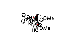 COc1ccc(C(O[C@@H]2[C@H](F)[C@@H](CO)O[C@H]2n2cnc3c(OC(=O)C(c4ccccc4)c4ccccc4)nc(NC(=O)C(C)C)nc32)(c2ccccc2)c2ccc(OC)cc2)cc1